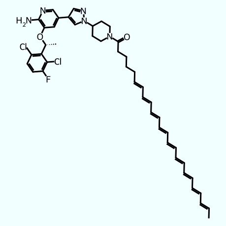 C/C=C/C=C/C=C/C=C/C=C/C=C/C=C/C=C/C=C/CCCCC(=O)N1CCC(n2cc(-c3cnc(N)c(O[C@H](C)c4c(Cl)ccc(F)c4Cl)c3)cn2)CC1